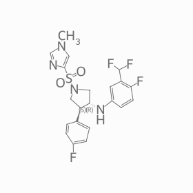 Cn1cnc(S(=O)(=O)N2C[C@H](Nc3ccc(F)c(C(F)F)c3)[C@@H](c3ccc(F)cc3)C2)c1